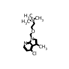 Cc1cn(COCC[Si](C)(C)C)c2nccc(Cl)c12